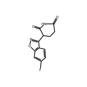 O=C1CCC(c2noc3cc(F)ccc23)C(=O)N1